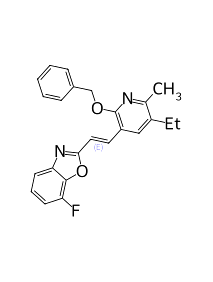 CCc1cc(/C=C/c2nc3cccc(F)c3o2)c(OCc2ccccc2)nc1C